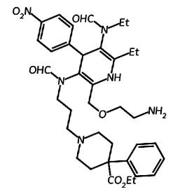 CCOC(=O)C1(c2ccccc2)CCN(CCCN(C=O)C2=C(COCCN)NC(CC)=C(N(C=O)CC)C2c2ccc([N+](=O)[O-])cc2)CC1